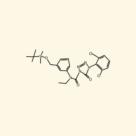 CCN(C(=O)n1nnn(-c2c(Cl)cccc2Cl)c1=O)c1cccc(CO[Si](C)(C)C(C)(C)C)c1